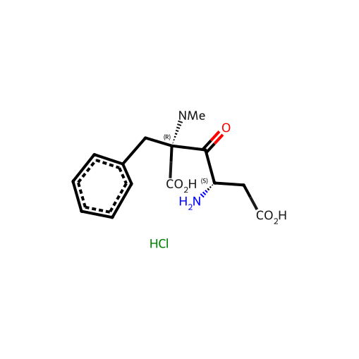 CN[C@@](Cc1ccccc1)(C(=O)O)C(=O)[C@@H](N)CC(=O)O.Cl